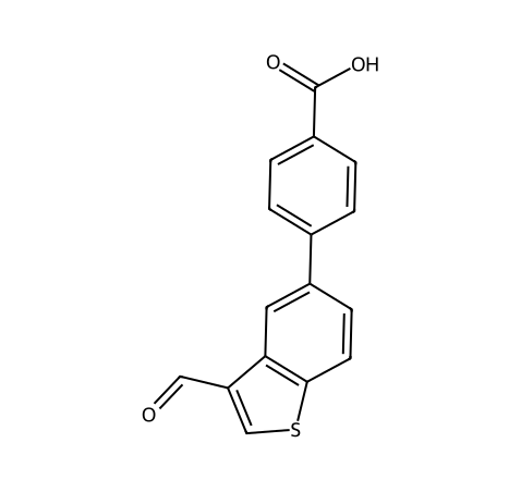 O=Cc1csc2ccc(-c3ccc(C(=O)O)cc3)cc12